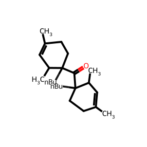 CCCCC1(C(=O)C2(CCCC)CCC(C)=CC2C)CCC(C)=CC1C